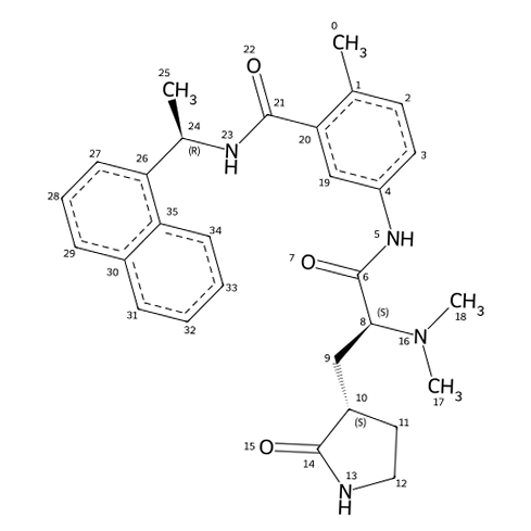 Cc1ccc(NC(=O)[C@H](C[C@@H]2CCNC2=O)N(C)C)cc1C(=O)N[C@H](C)c1cccc2ccccc12